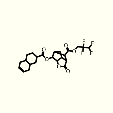 O=C(OC1C2CC3C1OC(=O)C3C2C(=O)OCC(F)(F)C(F)F)C1CCC2CC=CCC2C1